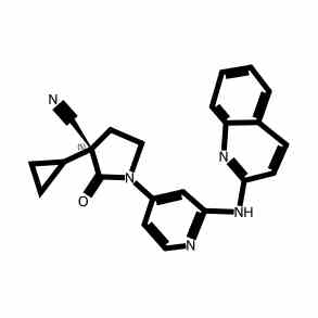 N#C[C@@]1(C2CC2)CCN(c2ccnc(Nc3ccc4ccccc4n3)c2)C1=O